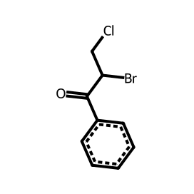 O=C(c1ccccc1)C(Br)CCl